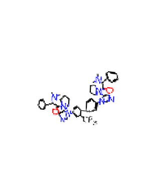 CN(C)[C@@H](C(=O)[N+]1(c2cncn2-c2ccc(-c3ccc(-n4cncc4[N+]4(C(=O)[C@@H](c5ccccc5)N(C)C)CCCC4)cc3C(F)(F)F)cc2)CCCC1)c1ccccc1